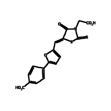 O=C(O)CN1C(=O)C(=Cc2ccc(-c3ccc(C(=O)O)cc3)o2)SC1=S